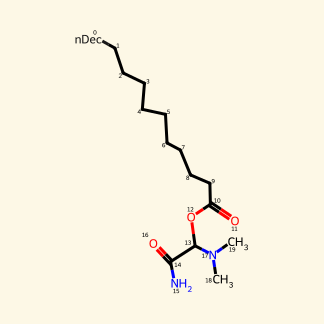 CCCCCCCCCCCCCCCCCCCC(=O)OC(C(N)=O)N(C)C